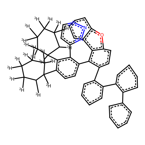 [2H]C1C([2H])([2H])C([2H])([2H])C([2H])([2H])C([2H])([2H])C1([2H])c1ccc(-c2c(-c3ccccc3-c3ccccc3-c3ccccc3)ccc3oc4ccccc4c23)c(-c2ccnnn2)c1C1([2H])C([2H])C([2H])([2H])C([2H])([2H])C([2H])([2H])C1([2H])[2H]